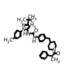 Cc1ccc(-n2nc(C(C)(C)C)cc2NC(=O)Nc2ccc(CC3CCN(C(=O)[C@H](C)c4ccccc4)CC3)cc2)cc1